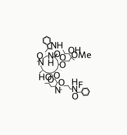 CO[C@]1(C)CC(O[C@H]2[C@H](C)[C@@H](OC3OC(C)C[C@H](N(C)C)[C@H]3OCCCNC(=O)c3ccccc3F)[C@](C)(O)C[C@@H](C)CN(C)C(=O)[C@H](Cc3c[nH]c4ccccc34)NC(=O)[C@@H]2C)OC(C)[C@@H]1O